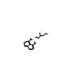 NCCC(CN)CCN1C(=O)c2cccc3cccc(c23)C1=O